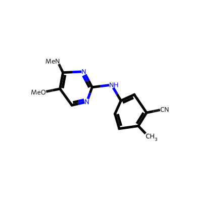 CNc1nc(Nc2ccc(C)c(C#N)c2)ncc1OC